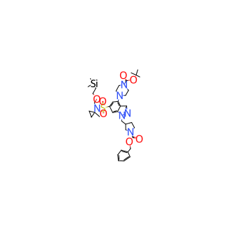 CC(C)(C)OC(=O)N1CCN(c2cc(S(=O)(=O)N(COCC[Si](C)(C)C)C3(C)CC3)cc3c2cnn3CC2CCN(C(=O)OCc3ccccc3)C2)CC1